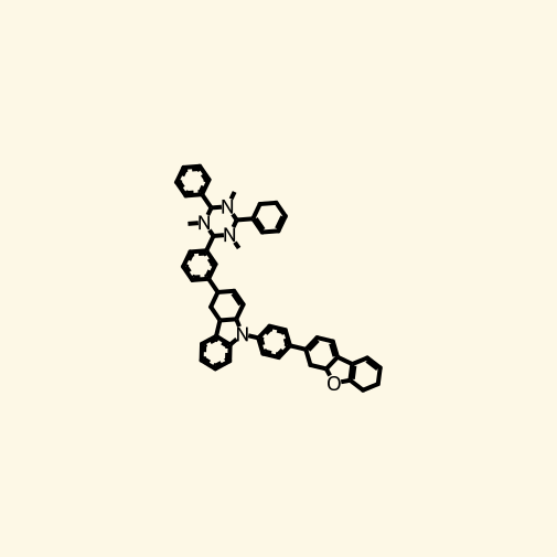 CN1C(C2=CC=CCC2)N(C)C(c2cccc(C3C=CC4C(C3)c3ccccc3N4c3ccc(C4=CC=C5C6=C(CCC=C6)OC5C4)cc3)c2)N(C)C1c1ccccc1